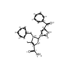 CC1=C(C(N)=O)SC(n2cc(C(=O)c3ccccc3)nn2)N1Cc1ccccc1